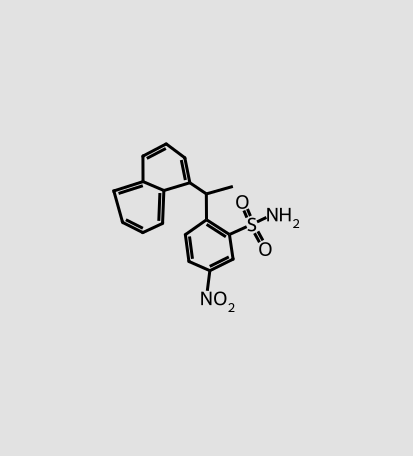 CC(c1ccc([N+](=O)[O-])cc1S(N)(=O)=O)c1cccc2ccccc12